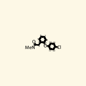 CNC(=O)Cc1ccccc1Oc1ccc(Cl)cc1